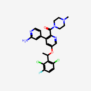 CC(Oc1cnc(C(=O)N2CCN(C)CC2)c(-c2ccnc(N)c2)c1)c1c(Cl)ccc(F)c1Cl